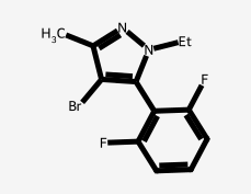 CCn1nc(C)c(Br)c1-c1c(F)cccc1F